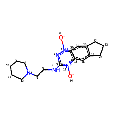 [O-][n+]1nc(NCCN2CCCCC2)[n+]([O-])c2cc3c(cc21)CCC3